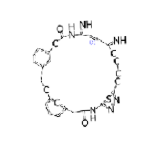 N=C1/C=C\C(=N)NC(=O)Cc2cccc(c2)CCc2cccc(c2)CC(=O)Nc2nnc(s2)CCCC1